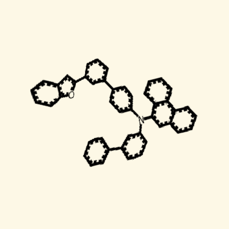 c1ccc(-c2cccc(N(c3ccc(-c4cccc(-c5cc6ccccc6o5)c4)cc3)c3cc4ccccc4c4ccccc34)c2)cc1